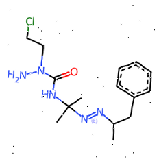 CC(Cc1ccccc1)/N=N/C(C)(C)NC(=O)N(N)CCCl